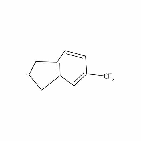 FC(F)(F)c1ccc2c(c1)C[CH]C2